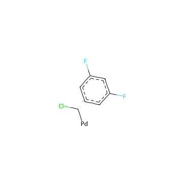 Cl[CH2][Pd].Fc1c[c]cc(F)c1